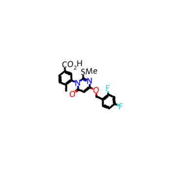 CSc1nc(OCc2ccc(F)cc2F)cc(=O)n1-c1cc(C(=O)O)ccc1C